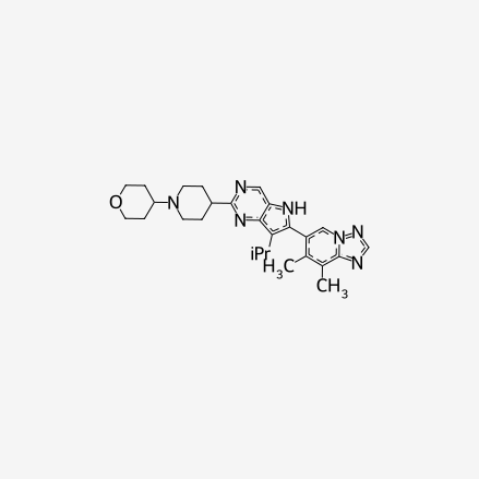 Cc1c(-c2[nH]c3cnc(C4CCN(C5CCOCC5)CC4)nc3c2C(C)C)cn2ncnc2c1C